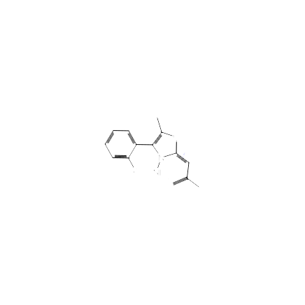 C=C(C)/C=C1/OC(C)=C(c2ccccc2Cl)N1N